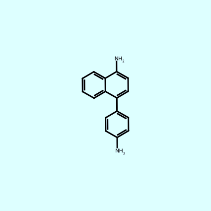 Nc1ccc(-c2ccc(N)c3ccccc23)cc1